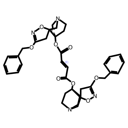 O=C(/C=C/C(=O)OC12CCN(CC1)CC21CC(OCc2ccccc2)=NO1)OC12CCN(CC1)CC21CC(OCc2ccccc2)=NO1